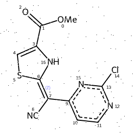 COC(=O)C1=CS/C(=C(\C#N)c2ccnc(Cl)n2)N1